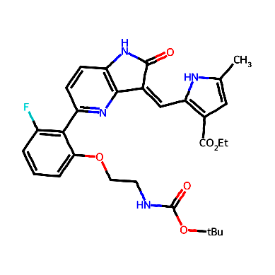 CCOC(=O)c1cc(C)[nH]c1/C=C1\C(=O)Nc2ccc(-c3c(F)cccc3OCCNC(=O)OC(C)(C)C)nc21